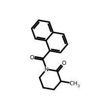 CC1CCCN(C(=O)c2cccc3ccccc23)C1=O